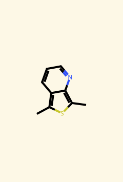 Cc1sc(C)c2ncccc12